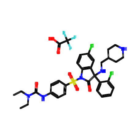 CCN(CC)C(=O)Nc1ccc(S(=O)(=O)N2C(=O)C(NCC3CCNCC3)(c3ccccc3Cl)c3cc(Cl)ccc32)cc1.O=C(O)C(F)(F)F